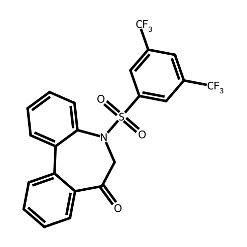 O=C1CN(S(=O)(=O)c2cc(C(F)(F)F)cc(C(F)(F)F)c2)c2ccccc2-c2ccccc21